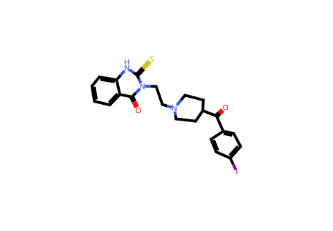 O=C(c1ccc(I)cc1)C1CCN(CCn2c(=S)[nH]c3ccccc3c2=O)CC1